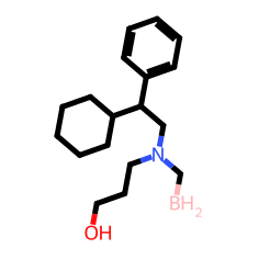 BCN(CCCO)CC(c1ccccc1)C1CCCCC1